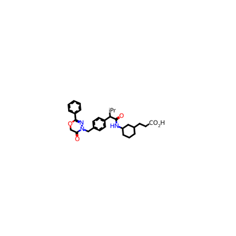 CC(C)C(C(=O)NC1CCCC(CCC(=O)O)C1)c1ccc(CN2N=C(c3ccccc3)OCC2=O)cc1